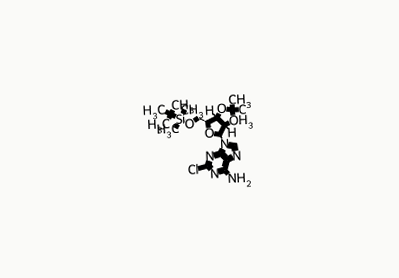 CC1(C)O[C@@H]2[C@H](O1)[C@@H](CO[Si](C)(C)C(C)(C)C)O[C@H]2n1cnc2c(N)nc(Cl)nc21